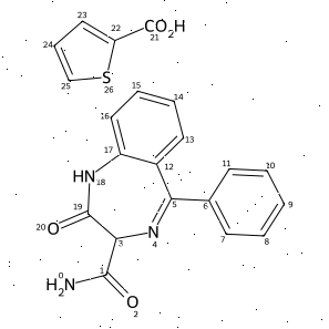 NC(=O)C1N=C(c2ccccc2)c2ccccc2NC1=O.O=C(O)c1cccs1